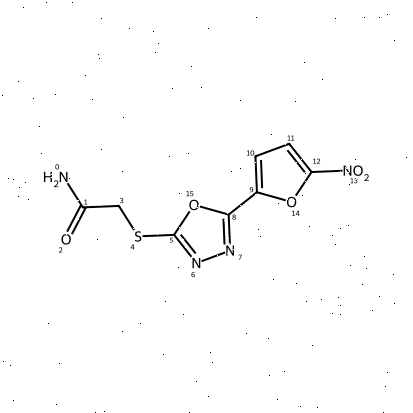 NC(=O)CSc1nnc(-c2ccc([N+](=O)[O-])o2)o1